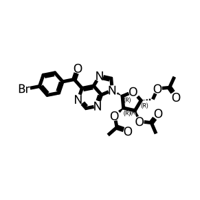 CC(=O)OC[C@H]1O[C@@H](n2cnc3c(C(=O)c4ccc(Br)cc4)ncnc32)[C@H](OC(C)=O)[C@@H]1OC(C)=O